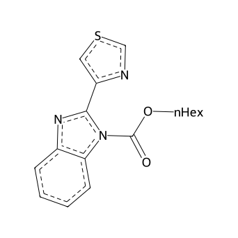 CCCCCCOC(=O)n1c(-c2cscn2)nc2ccccc21